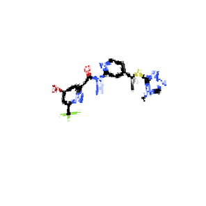 C[C@H](Sc1nncn1C)c1ccnc(NC(=O)c2cc(Br)cc(C(F)(F)F)n2)c1